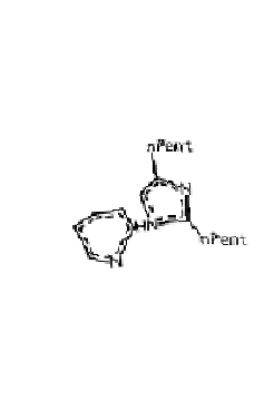 CCCCCc1c[nH]c(CCCCC)n1.c1ccncc1